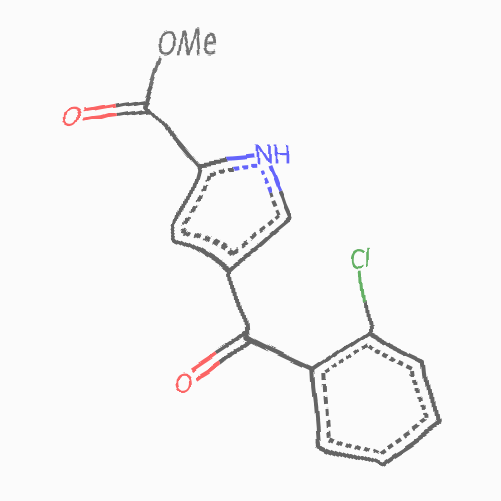 COC(=O)c1cc(C(=O)c2ccccc2Cl)c[nH]1